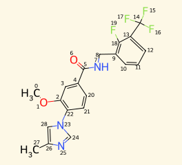 COc1cc(C(=O)NCc2cccc(C(F)(F)F)c2F)ccc1-n1cnc(C)c1